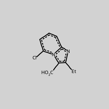 CCc1nc2cccc(Cl)n2c1C(=O)O